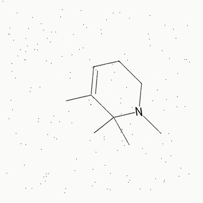 CC1=CCCN(C)C1(C)C